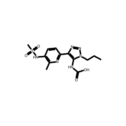 CCCn1nnc(-c2ccc(NS(C)(=O)=O)c(C)n2)c1NC(=O)O